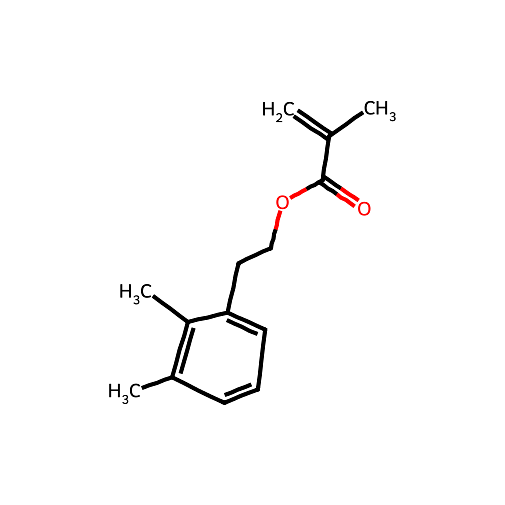 C=C(C)C(=O)OCCc1cccc(C)c1C